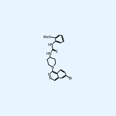 CSc1ccccc1NC(=S)NC1CCN(c2nncc3cc(Br)ccc23)CC1